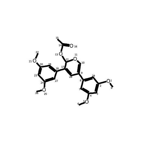 COc1cc(OC)cc(C2=COC(OC(C)=O)C(c3cc(OC)cc(OC)c3)=C2)c1